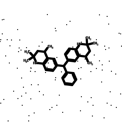 CC1CC(C)(C)Nc2ccc(C(c3ccccc3)c3ccc4c(c3)C(C)CC(C)(C)N4)cc21